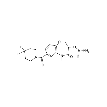 CN1C(=O)[C@@H](OC(N)=O)COc2ccc(C(=O)N3CCC(F)(F)CC3)cc21